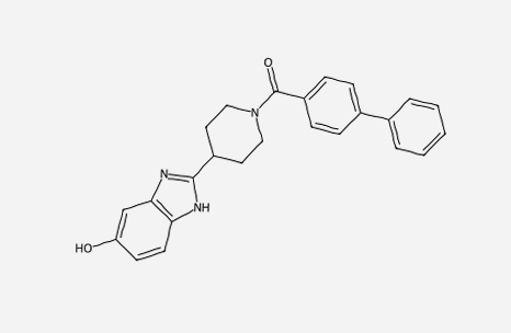 O=C(c1ccc(-c2ccccc2)cc1)N1CCC(c2nc3cc(O)ccc3[nH]2)CC1